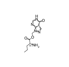 CCC[C@H](N)C(=O)OCn1ncc2c(=O)[nH]cnc21